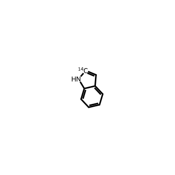 c1ccc2[nH][14cH]cc2c1